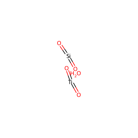 O.O=[Si]=O.[O]=[Ti]=[O]